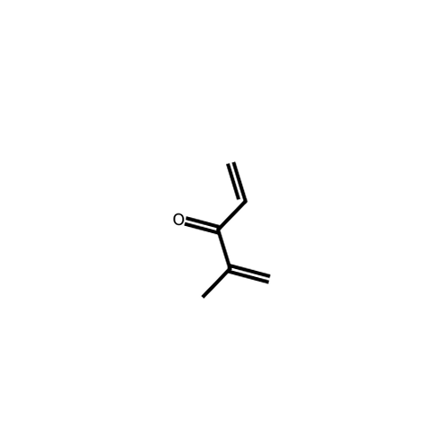 C=CC(=O)C(=C)C